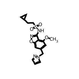 COc1cc(Cn2cccn2)cc2onc(NS(=O)(=O)CCC3CC3)c12